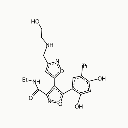 CCNC(=O)c1noc(-c2cc(C(C)C)c(O)cc2O)c1-c1cc(CNCCO)no1